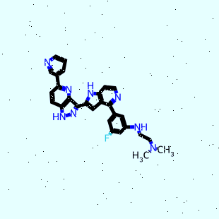 CN(C)CCNc1cc(F)cc(-c2nccc3[nH]c(-c4n[nH]c5ccc(-c6cccnc6)nc45)cc23)c1